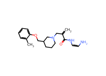 C=C(CN1CCCC(COc2ccccc2C)C1)C(=O)N/C=C\N